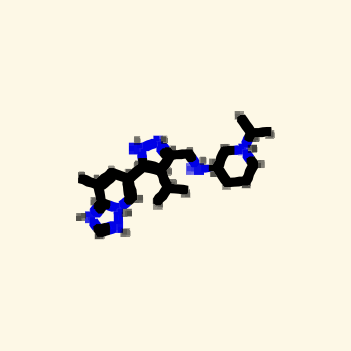 Cc1cc(-c2[nH]nc(CN[C@@H]3CCCN(C(C)C)C3)c2C(C)C)cn2ncnc12